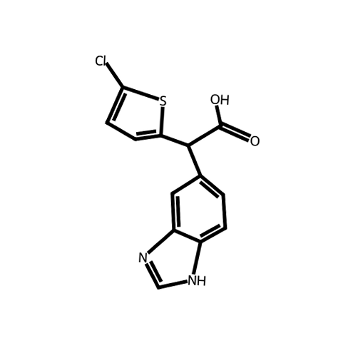 O=C(O)C(c1ccc2[nH]cnc2c1)c1ccc(Cl)s1